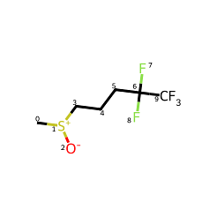 C[S+]([O-])CCCC(F)(F)C(F)(F)F